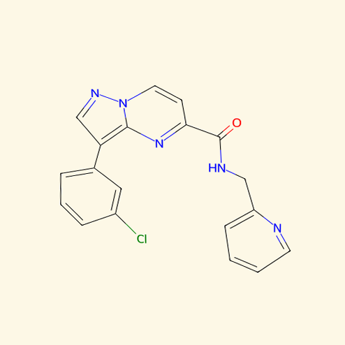 O=C(NCc1ccccn1)c1ccn2ncc(-c3cccc(Cl)c3)c2n1